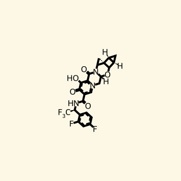 O=C(N[C@@H](c1ccc(F)cc1F)C(F)(F)F)c1cn2c(c(O)c1=O)C(=O)N1C3C[C@]34C(O[C@@H]1C2)[C@@H]1C[C@@H]14